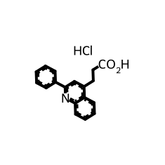 Cl.O=C(O)CCc1cc(-c2ccccc2)nc2ccccc12